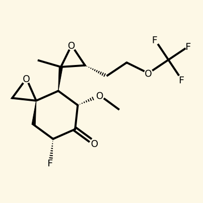 CO[C@@H]1C(=O)[C@H](F)C[C@]2(CO2)[C@H]1C1(C)O[C@@H]1CCOC(F)(F)F